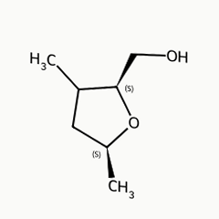 CC1C[C@H](C)O[C@@H]1CO